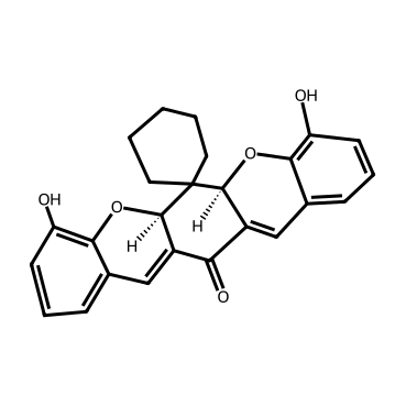 O=C1C2=Cc3cccc(O)c3O[C@H]2C2(CCCCC2)[C@H]2Oc3c(O)cccc3C=C12